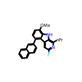 CCCc1nc(F)cc2c1[nH]c1c(OC)ccc(-c3ccc4ccccc4c3)c12